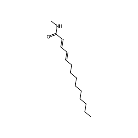 CCCCCCCCC/C=C/C=C/C(=O)NC